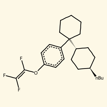 CCCC[C@H]1CC[C@H](C2(c3ccc(OC(F)=C(F)F)cc3)CCCCC2)CC1